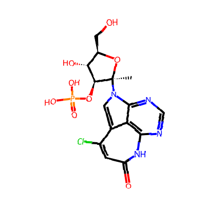 C[C@@]1(n2cc3c4c(ncnc42)NC(=O)C=C3Cl)O[C@H](CO)[C@@H](O)[C@@H]1OP(=O)(O)O